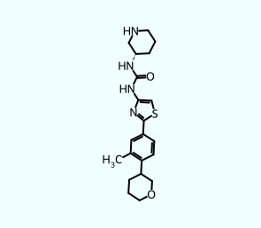 Cc1cc(-c2nc(NC(=O)N[C@H]3CCCNC3)cs2)ccc1C1CCCOC1